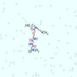 C=CCCCN(CC(=O)O)C(=O)COCCNC(=O)CNC(=O)CN(C)CC